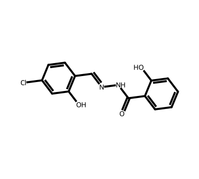 O=C(N/N=C/c1ccc(Cl)cc1O)c1ccccc1O